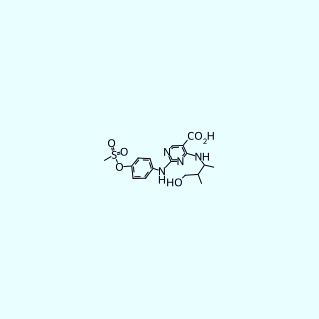 CC(CO)C(C)Nc1nc(Nc2ccc(OS(C)(=O)=O)cc2)ncc1C(=O)O